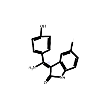 N/C(=C1\C(=O)Nc2ccc(I)cc21)c1ccc(O)cc1